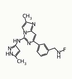 Cc1cn2c(Nc3cc(C)[nH]n3)nc(-c3cccc(CNF)c3)cc2n1